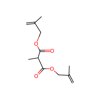 C=C(C)COC(=O)C(C)C(=O)OCC(=C)C